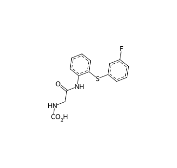 O=C(O)NCC(=O)Nc1ccccc1Sc1cccc(F)c1